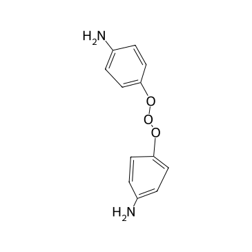 Nc1ccc(OOOc2ccc(N)cc2)cc1